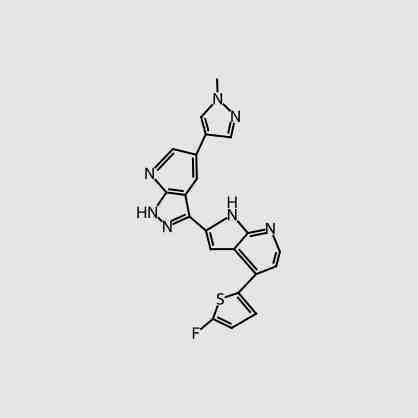 Cn1cc(-c2cnc3[nH]nc(-c4cc5c(-c6ccc(F)s6)ccnc5[nH]4)c3c2)cn1